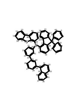 c1ccc(C2(c3ccccc3)c3ccccc3-c3c(N(c4cccc(-c5cccc(-c6cccc7ccccc67)c5)c4)c4cccc5c4sc4ccccc45)cccc32)cc1